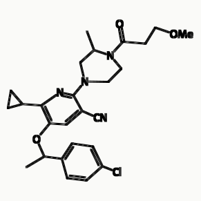 COCCC(=O)N1CCN(c2nc(C3CC3)c(OC(C)c3ccc(Cl)cc3)cc2C#N)CC1C